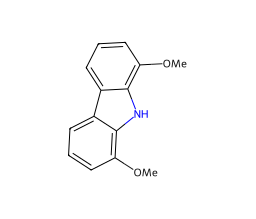 COc1cccc2c1[nH]c1c(OC)cccc12